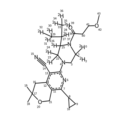 [2H]C1([2H])CN(c2nc(C3CC3)c3c(c2C#N)CC(C)(C)OC3)C([2H])([2H])C([2H])(C([2H])(C([2H])([2H])[2H])C([2H])([2H])[2H])N1C(=O)CCOC